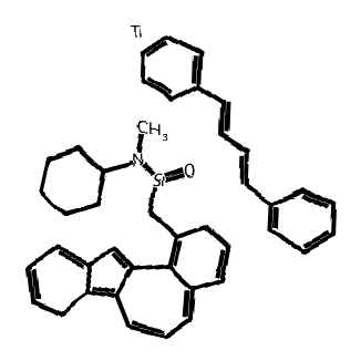 C(C=Cc1ccccc1)=Cc1ccccc1.CN(C1CCCCC1)[Si](=O)CC1=c2c(cccc3c4c(cc2-3)=CC=CC4)C=CC1.[Ti]